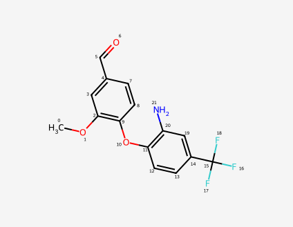 COc1cc(C=O)ccc1Oc1ccc(C(F)(F)F)cc1N